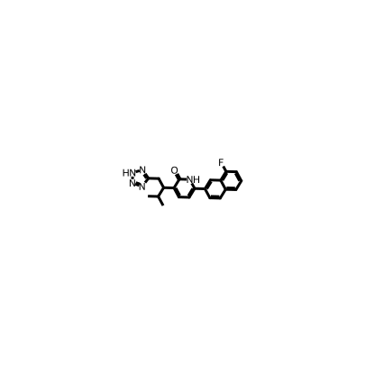 CC(C)C(Cc1nn[nH]n1)c1ccc(-c2ccc3cccc(F)c3c2)[nH]c1=O